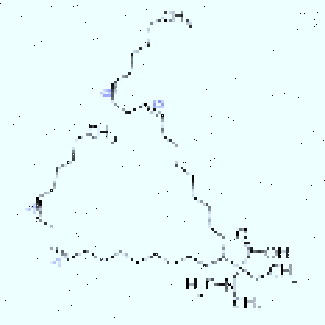 CCCCC/C=C\C/C=C\CCCCCCCCC(CCCCCCCC/C=C\C/C=C\CCCCC)C(CC)(C(=O)O)N(C)C